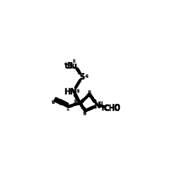 C=CC1(NSC(C)(C)C)CN(C=O)C1